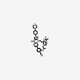 CC(Cn1cnnn1)Oc1cc(-c2cnc(Nc3cn(C4CCC(N5CCOCC5)CC4)nc3OCCCOC(F)(F)F)nc2)ccc1C#N